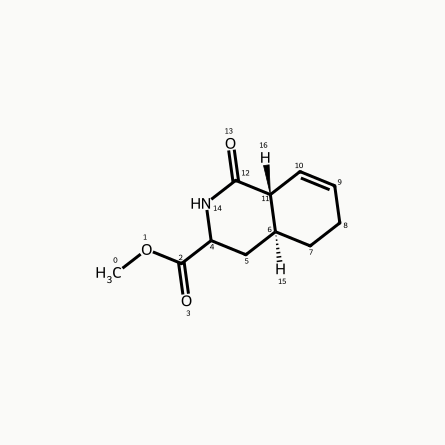 COC(=O)C1C[C@@H]2CCC=C[C@H]2C(=O)N1